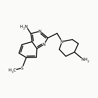 CSc1ccc2c(N)nc(CN3CCC(N)CC3)nc2c1